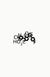 Cc1c(N2C(=O)CSC2c2ccc(F)cc2)ccc(C(=O)O)c1-c1ccc(Cl)nc1